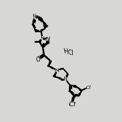 Cc1c(C(=O)CCN2CCN(c3cc(Cl)cc(Cl)c3)CC2)cnn1-c1ccncc1.Cl